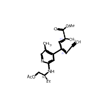 C#C/C=C(\C=C(/C)C(=O)OC)c1cc(N[C@@H](CC)COC(C)=O)ncc1C